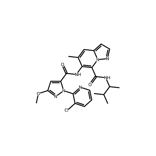 COc1cc(C(=O)Nc2c(C)cc3ccnn3c2C(=O)NC(C)C(C)C)n(-c2ncccc2Cl)n1